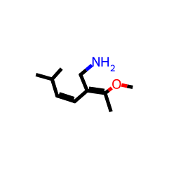 CO/C(C)=C(/C=C\C(C)C)CN